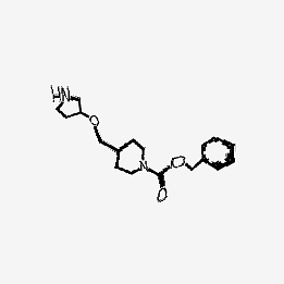 O=C(OCc1ccccc1)N1CCC(COC2CCNC2)CC1